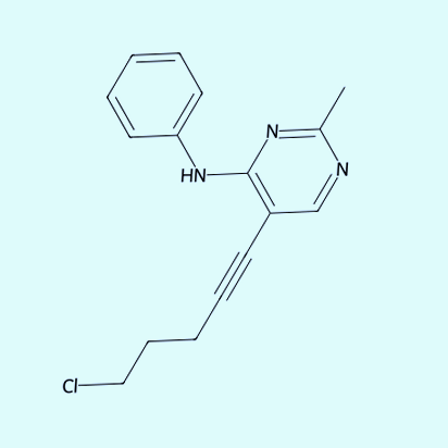 Cc1ncc(C#CCCCCl)c(Nc2ccccc2)n1